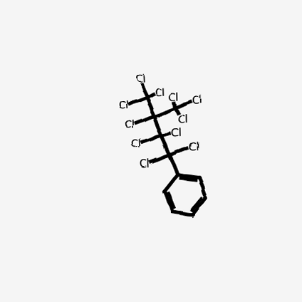 ClC(Cl)(Cl)C(Cl)(C(Cl)(Cl)Cl)C(Cl)(Cl)C(Cl)(Cl)c1cc[c]cc1